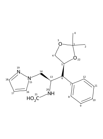 CC1(C)OC[C@H](C(c2ccccc2)[C@H](Cn2cccn2)NC(=O)O)O1